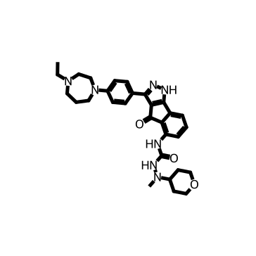 CCN1CCCN(c2ccc(-c3n[nH]c4c3C(=O)c3c(NC(=O)NN(C)C5CCOCC5)cccc3-4)cc2)CC1